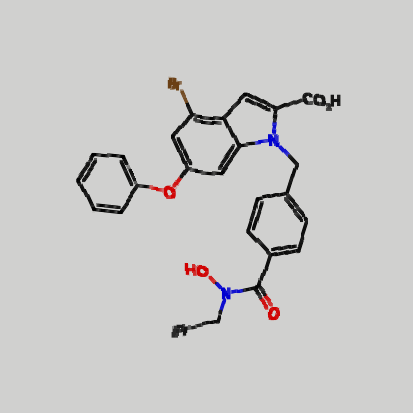 CC(C)CN(O)C(=O)c1ccc(Cn2c(C(=O)O)cc3c(Br)cc(Oc4ccccc4)cc32)cc1